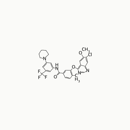 COc1cc2c(Oc3cc(C(=O)Nc4cc(N5CCCCC5)cc(C(F)(F)F)c4)ccc3C)ncnc2cc1Cl